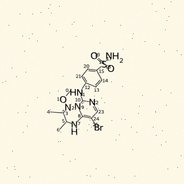 CON=C(C)C(C)Nc1nc(Nc2ccc(S(N)(=O)=O)cc2)ncc1Br